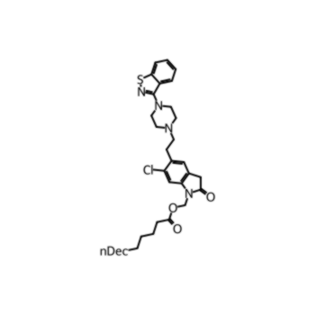 CCCCCCCCCCCCCCC(=O)OCN1C(=O)Cc2cc(CCN3CCN(c4nsc5ccccc45)CC3)c(Cl)cc21